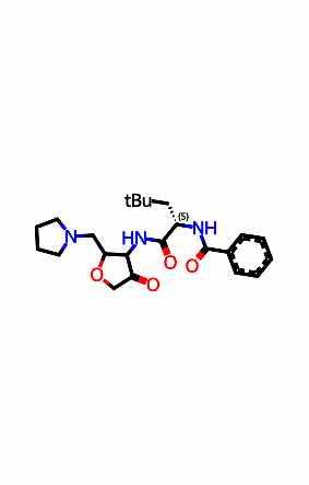 CC(C)(C)C[C@H](NC(=O)c1ccccc1)C(=O)NC1C(=O)COC1CN1CCCC1